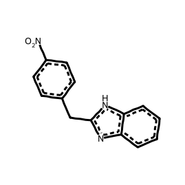 O=[N+]([O-])c1ccc(Cc2nc3ccccc3[nH]2)cc1